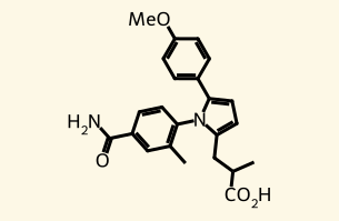 COc1ccc(-c2ccc(CC(C)C(=O)O)n2-c2ccc(C(N)=O)cc2C)cc1